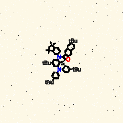 CC(C)(C)c1ccc(N2c3ccc(C(C)(C)C)cc3B3c4oc5cc6ccc(C(C)(C)C)cc6cc5c4N(c4ccc5c(c4)C(C)(C)CC5(C)C)c4cc(C(C)(C)C)cc2c43)cc1